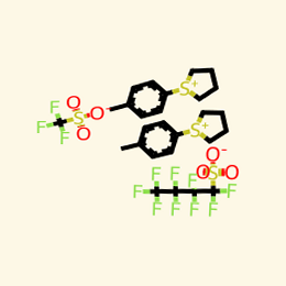 Cc1ccc([S+]2CCCC2)cc1.Cc1ccc([S+]2CCCC2)cc1.O=S(=O)([O-])C(F)(F)C(F)(F)C(F)(F)C(F)(F)F.O=S(=O)([O-])C(F)(F)F